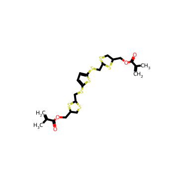 C=C(C)C(=O)OCC1CSC(CSc2ccc(SCC3SCC(COC(=O)C(=C)C)S3)s2)S1